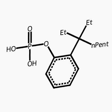 CCCCCC(CC)(CC)c1ccccc1OP(=O)(O)O